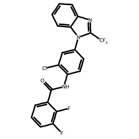 O=C(Nc1ccc(-n2c(C(F)(F)F)nc3ccccc32)cc1Cl)c1cccc(F)c1F